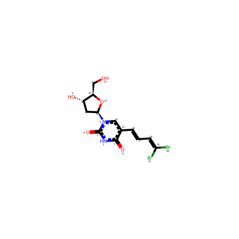 O=c1[nH]c(=O)n([C@H]2C[C@H](O)[C@@H](CO)O2)cc1C=CC=C(Br)Br